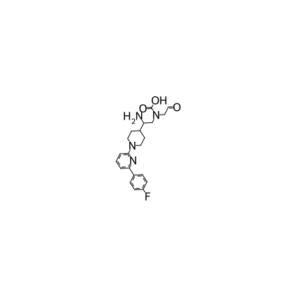 NC(CN(CC=O)C(=O)O)C1CCN(c2cccc(-c3ccc(F)cc3)n2)CC1